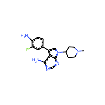 CN1CCC(n2cc(-c3ccc(N)c(F)c3)c3c(N)ncnc32)CC1